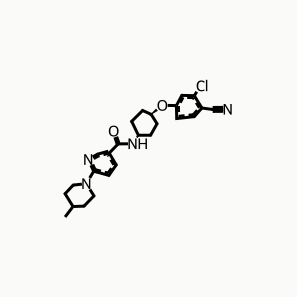 CC1CCN(c2ccc(C(=O)N[C@H]3CC[C@H](Oc4ccc(C#N)c(Cl)c4)CC3)cn2)CC1